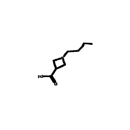 CCCCN1CC(C(=O)O)C1